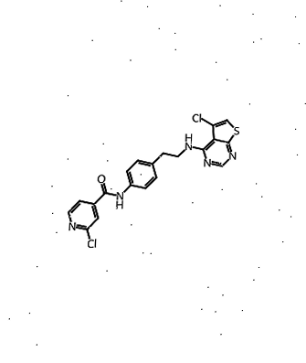 O=C(Nc1ccc(CCNc2ncnc3scc(Cl)c23)cc1)c1ccnc(Cl)c1